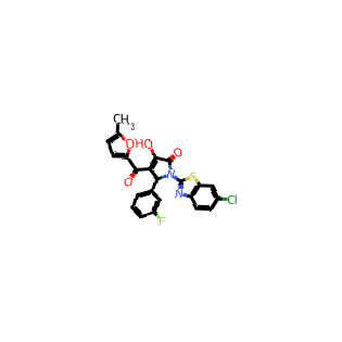 Cc1ccc(C(=O)C2=C(O)C(=O)N(c3nc4ccc(Cl)cc4s3)C2c2cccc(F)c2)o1